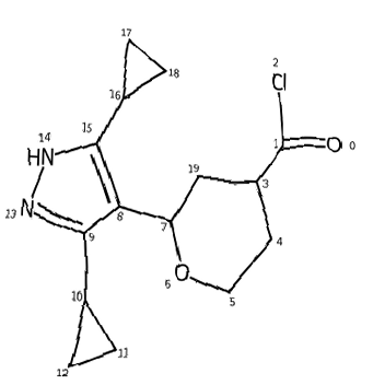 O=C(Cl)C1CCOC(c2c(C3CC3)n[nH]c2C2CC2)C1